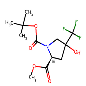 COC(=O)[C@@H]1CC(O)(C(F)(F)F)CN1C(=O)OC(C)(C)C